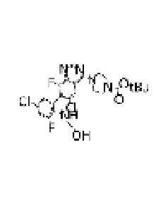 CC(C)(C)OC(=O)N1CCN(c2ncnc3c(F)c(-c4cc(Cl)cc(F)c4NCCO)c(Cl)cc23)CC1